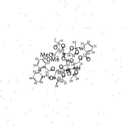 COC(OC)C1OC(C)(C)O[C@H]1[C@H](O[C@@H]1OC(COC(=O)c2ccccc2)[C@@H]2OC(C)(C)O[C@@H]2C1O[C@@H]1OC(C)[C@@H](C)[C@H](OCc2ccccc2)C1OCc1ccccc1)C1COC(C)(C)O1